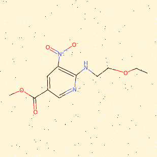 CCOCCNc1ncc(C(=O)OC)cc1[N+](=O)[O-]